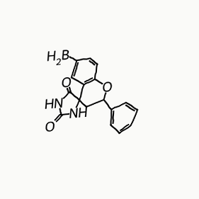 Bc1ccc2c(c1)C1(CC(c3ccccc3)O2)NC(=O)NC1=O